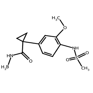 BNC(=O)C1(c2ccc(NS(C)(=O)=O)c(OC)c2)CC1